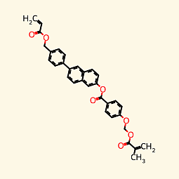 C=CC(=O)OCc1ccc(-c2ccc3cc(OC(=O)c4ccc(OCOC(=O)C(=C)C)cc4)ccc3c2)cc1